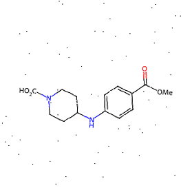 COC(=O)c1ccc(NC2CCN(C(=O)O)CC2)cc1